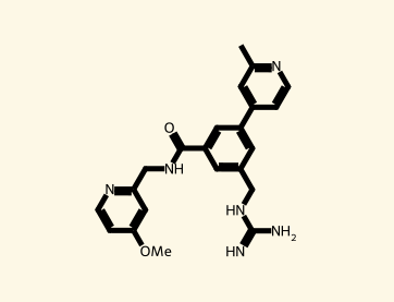 COc1ccnc(CNC(=O)c2cc(CNC(=N)N)cc(-c3ccnc(C)c3)c2)c1